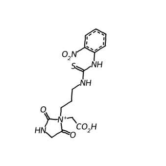 O=C(O)C[N+]1(CCCNC(=S)Nc2ccccc2[N+](=O)[O-])C(=O)CNC1=O